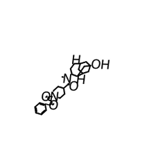 CN(C(=O)C1CCN(S(=O)(=O)c2ccccc2)CC1)C1CC[C@H]2C[C@@H]3CC(O)(CC13)C2